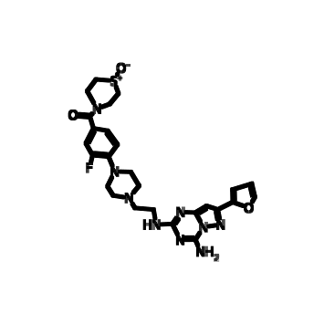 Nc1nc(NCCN2CCN(c3ccc(C(=O)N4CC[S+]([O-])CC4)cc3F)CC2)nc2cc(-c3ccco3)nn12